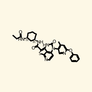 CCC(=O)N[C@H]1CCC[C@@H](NC(=O)c2sc3nccc4c3c2NC(=O)N4c2cnc(Oc3ccccc3)cc2C)C1